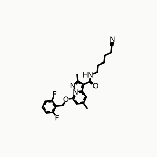 Cc1cc(OCc2c(F)cccc2F)n2nc(C)c(C(=O)NCCCCCC#N)c2c1